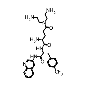 NCCN(CCN)C(=O)CC[C@H](N)C(=O)N[C@H](Cc1ccc(C(F)(F)F)cc1)C(=O)Nc1cnc2ccccc2c1